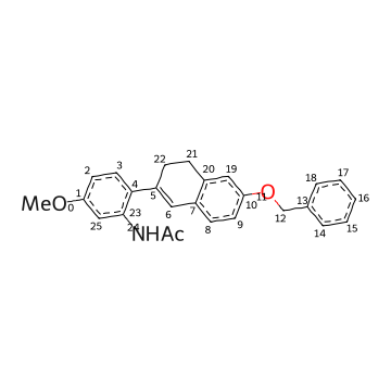 COc1ccc(C2=Cc3ccc(OCc4ccccc4)cc3CC2)c(NC(C)=O)c1